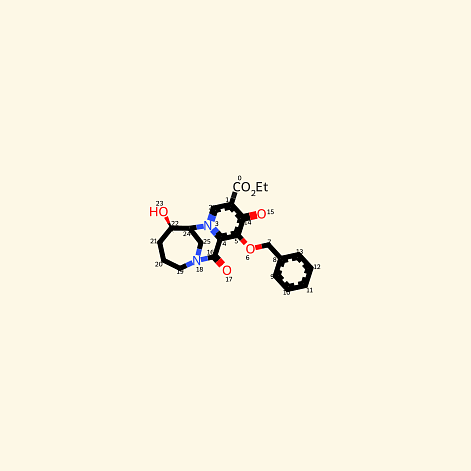 CCOC(=O)c1cn2c(c(OCc3ccccc3)c1=O)C(=O)N1CCC[C@@H](O)C2C1